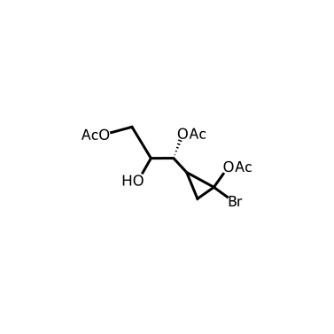 CC(=O)OCC(O)[C@H](OC(C)=O)C1CC1(Br)OC(C)=O